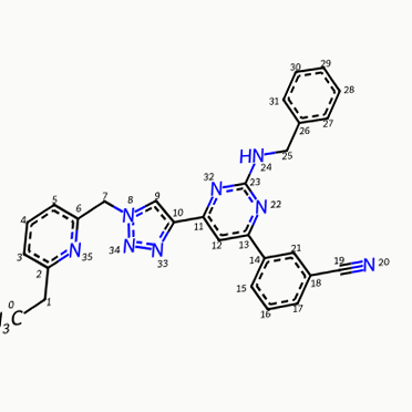 CCc1cccc(Cn2cc(-c3cc(-c4cccc(C#N)c4)nc(NCc4ccccc4)n3)nn2)n1